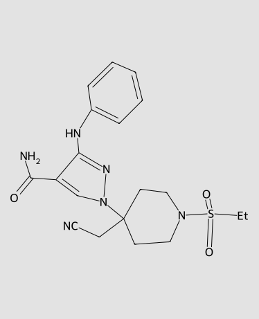 CCS(=O)(=O)N1CCC(CC#N)(n2cc(C(N)=O)c(Nc3ccccc3)n2)CC1